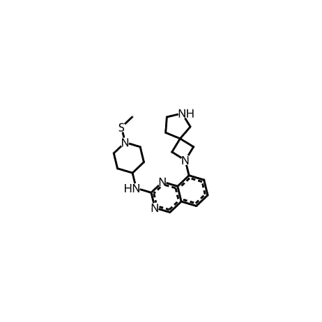 CSN1CCC(Nc2ncc3cccc(N4CC5(CCNC5)C4)c3n2)CC1